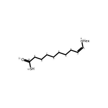 CCCCCC/C=C\CCCCCCCC(=O)S